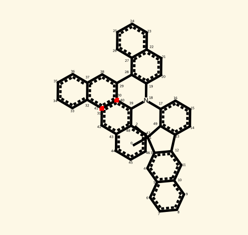 CC1(C)c2cc3ccccc3cc2-c2cccc(N(c3ccc4ccccc4c3-c3ccc4ccccc4c3)c3cccc4ccccc34)c21